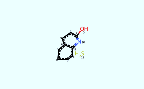 Oc1ccc2ccccc2n1.S